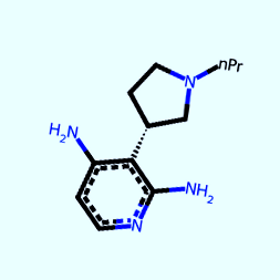 CCCN1CC[C@@H](c2c(N)ccnc2N)C1